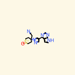 N#CCC1(n2cc(-c3ncnc4[nH]ccc34)cn2)CC[S+]([O-])CC1